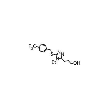 CCn1c(CCCO)nnc1SCc1ccc(C(F)(F)F)cc1